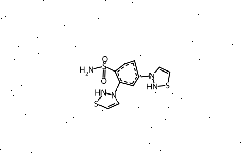 NS(=O)(=O)c1ccc(N2C=CSN2)cc1N1C=CSN1